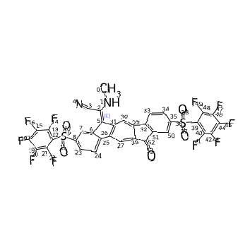 CN/C(C#N)=C1/c2cc(S(=O)(=O)c3c(F)c(F)c(F)c(F)c3F)ccc2-c2cc3c(cc21)-c1ccc(S(=O)(=O)c2c(F)c(F)c(F)c(F)c2F)cc1C3=O